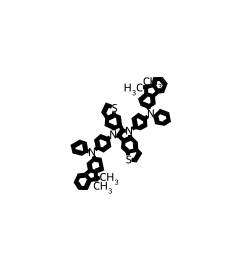 CC1(C)c2ccccc2-c2cc(N(c3ccccc3)c3ccc(-n4c5cc6ccsc6cc5c5c4c4cc6sccc6cc4n5-c4ccc(N(c5ccccc5)c5ccc6c(c5)-c5ccccc5C6(C)C)cc4)cc3)ccc21